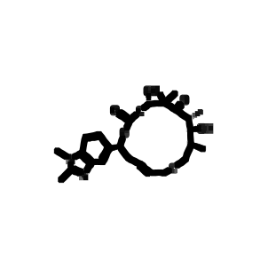 Cc1nc2cc([C@@H]3C/C=C/CCC[C@H](C)[C@H](O)[C@@H](C)C(=O)C(C)(C)[C@@H](O)CC(=O)O3)ccc2n1C